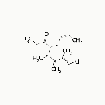 C=C(C(=C)C(C/C=C\C)C(=O)CC)/C(C)=C/Cl